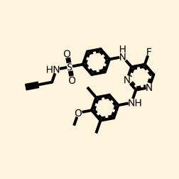 C#CCNS(=O)(=O)c1ccc(Nc2nc(Nc3cc(C)c(OC)c(C)c3)ncc2F)cc1